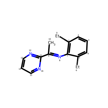 CCc1cccc(CC)c1N=C(C)c1ncccn1